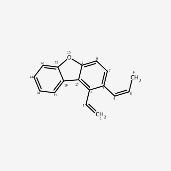 C=Cc1c(/C=C\C)ccc2oc3ccccc3c12